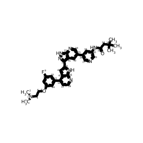 CN(C)CCOc1cc(F)cc(-c2ccnc3[nH]c(-c4n[nH]c5ncc(-c6cncc(NC(=O)CC(C)(C)C)c6)cc45)cc23)c1